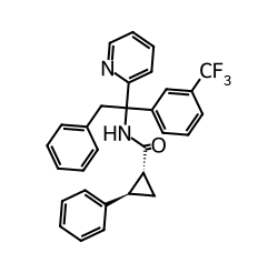 O=C(NC(Cc1ccccc1)(c1cccc(C(F)(F)F)c1)c1ccccn1)[C@@H]1C[C@H]1c1ccccc1